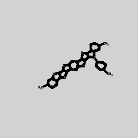 Cc1ccc(-n2c3cc(C)ccc3c3sc4c5cc6sc7c(oc8c9ccc(C)cc9sc87)c6cc5sc4c32)cc1